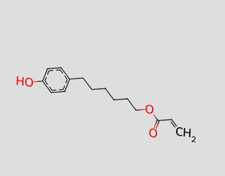 C=CC(=O)OCCCCCCc1ccc(O)cc1